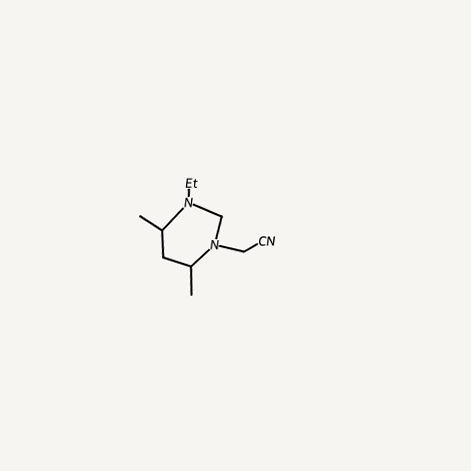 CCN1CN(CC#N)C(C)CC1C